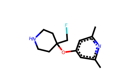 Cc1cc(OC2(CF)CCNCC2)cc(C)n1